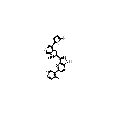 Cc1ccncc1-c1ccc2[nH]nc(-c3cc4c(-c5ccc(F)s5)cncc4[nH]3)c2n1